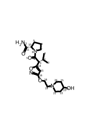 CC(C)[C@@H](C(=O)N1CCC[C@H]1C(N)=O)c1cc(OCCN2CCC(O)CC2)no1